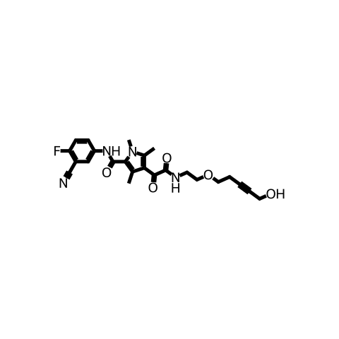 Cc1c(C(=O)C(=O)NCCOCCC#CCO)c(C)n(C)c1C(=O)Nc1ccc(F)c(C#N)c1